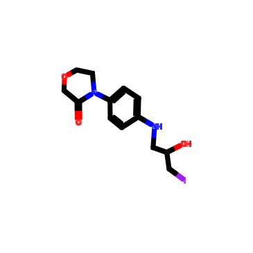 O=C1COCCN1c1ccc(NCC(O)CI)cc1